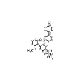 COc1cccc2c1-c1ccc(NS(C)(=O)=O)cc1C(c1cccc(-c3ccc(Cl)cc3)c1)O2